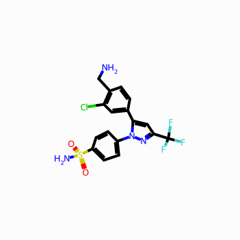 NCc1ccc(-c2cc(C(F)(F)F)nn2-c2ccc(S(N)(=O)=O)cc2)cc1Cl